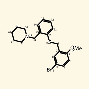 COc1ccc(Br)cc1CSc1ccccc1CN1CCCCC1